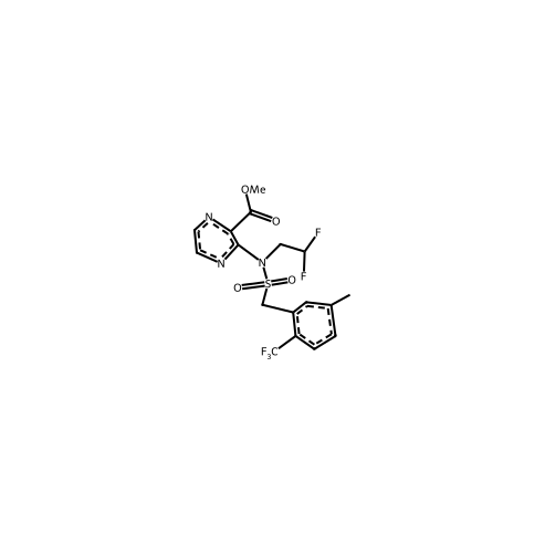 COC(=O)c1nccnc1N(CC(F)F)S(=O)(=O)Cc1cc(C)ccc1C(F)(F)F